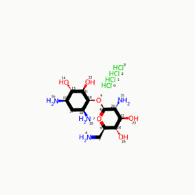 Cl.Cl.Cl.Cl.NC[C@H]1O[C@H](O[C@H]2[C@H](O)[C@@H](O)[C@H](N)C[C@@H]2N)[C@H](N)[C@@H](O)[C@@H]1O